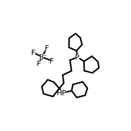 C1CCC(PC2(CCCCP(C3CCCCC3)C3CCCCC3)CCCCC2)CC1.F[B-](F)(F)F